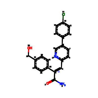 NC(=O)/C(=C/c1ccc(-c2ccc(Cl)cc2)cn1)c1ccc(CO)cc1